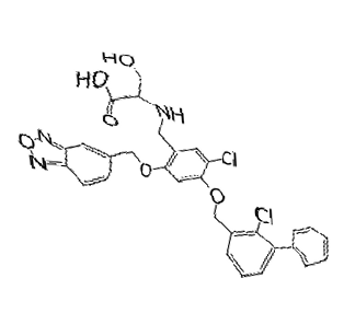 O=C(O)C(CO)NCc1cc(Cl)c(OCc2cccc(-c3ccccc3)c2Cl)cc1OCc1ccc2nonc2c1